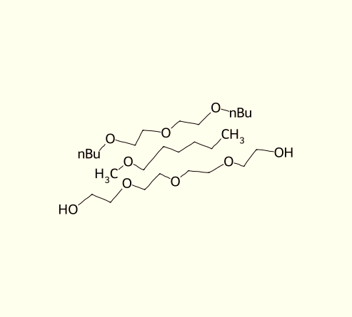 CCCCCCOC.CCCCOCCOCCOCCCC.OCCOCCOCCOCCO